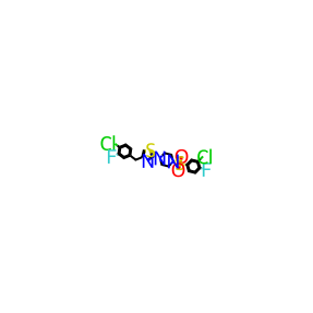 O=S(=O)(c1ccc(F)c(Cl)c1)N1CCN(c2nc(Cc3ccc(Cl)c(F)c3)cs2)CC1